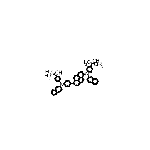 CC(C)(C)c1ccc(N(c2ccc(-c3ccc4ccc5c(N(c6ccc(C(C)(C)C)cc6)c6ccc7ccccc7c6)ccc6ccc3c4c65)cc2)c2ccc3ccccc3c2)cc1